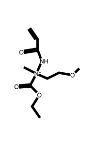 [CH2][N+](CCOC)(NC(=O)C=C)C(=O)OCC